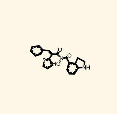 O=C(C(=Cc1ccccc1)c1cccs1)N(O)C(=O)c1cccc2c1CCN2